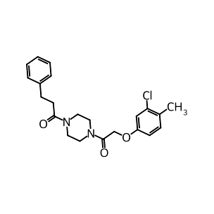 Cc1ccc(OCC(=O)N2CCN(C(=O)CCc3ccccc3)CC2)cc1Cl